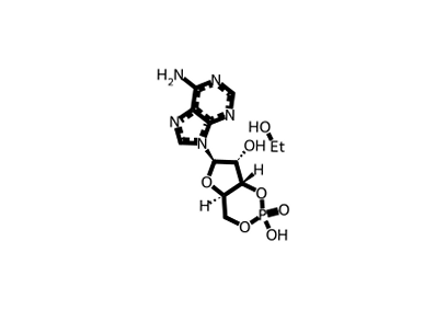 CCO.Nc1ncnc2c1ncn2[C@@H]1O[C@@H]2COP(=O)(O)O[C@H]2[C@H]1O